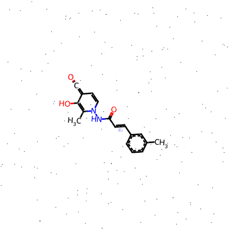 CC1=C(O)C(=C=O)C=CN1NC(=O)/C=C/c1cccc(C)c1